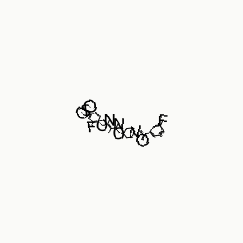 Cc1c(Oc2ccc(S(C)(=O)=O)cc2F)ncnc1OC1CCN(CC(=O)c2cccc(F)c2)CC1